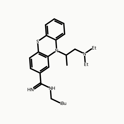 CCC(C)CNC(=N)c1ccc2c(c1)N(C(C)CN(CC)CC)c1ccccc1S2